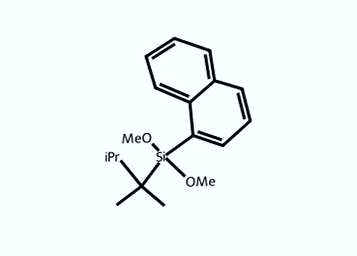 CO[Si](OC)(c1cccc2ccccc12)C(C)(C)C(C)C